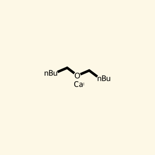 CCCCCOCCCCC.[Ca]